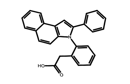 O=C(O)Cc1ccccc1-n1c(-c2ccccc2)cc2c3ccccc3ccc21